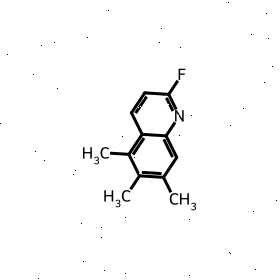 Cc1cc2nc(F)ccc2c(C)c1C